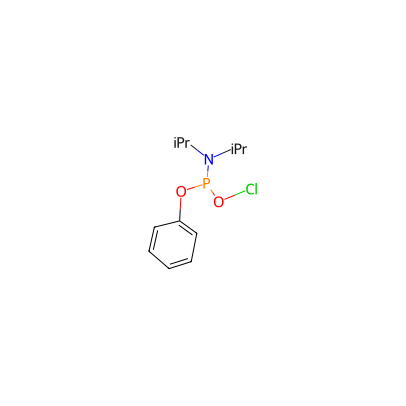 CC(C)N(C(C)C)P(OCl)Oc1ccccc1